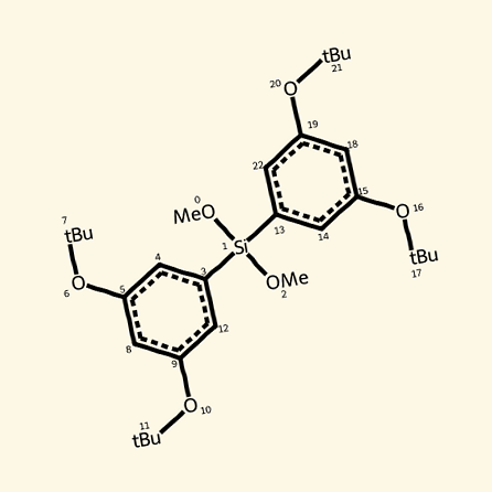 CO[Si](OC)(c1cc(OC(C)(C)C)cc(OC(C)(C)C)c1)c1cc(OC(C)(C)C)cc(OC(C)(C)C)c1